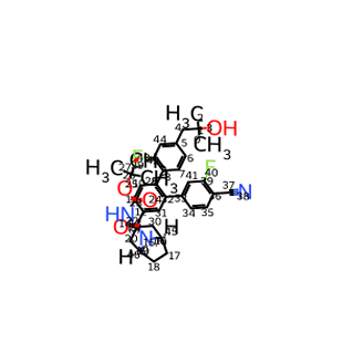 CC(C)(O)Cc1ccc(-c2ccc(C(=O)N3[C@@H]4CC[C@H]3C[C@H](NC(=O)OC(C)(C)C)C4)cc2-c2ccc(C#N)c(F)c2)c(F)c1